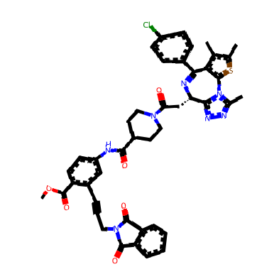 COC(=O)c1ccc(NC(=O)C2CCN(C(=O)C[C@@H]3N=C(c4ccc(Cl)cc4)c4c(sc(C)c4C)-n4c(C)nnc43)CC2)cc1C#CCN1C(=O)c2ccccc2C1=O